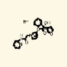 O=C(C[N+]12CCC(CC1)C(OC(=O)[C@@](O)(c1ccccc1)c1ccoc1)C2)Nc1ccccn1.[Br-]